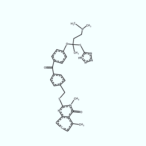 Cc1cccc2nc(SCc3ccc(C(=O)c4ccc(OC(C)(CCN(C)C)Sc5nnn[nH]5)cc4)cc3)n(C)c(=O)c12